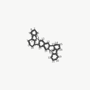 C1=Cc2c3n(c4ccccc24)-c2cc4c(cc2C3C1)=CC1C(C=4)c2cccc3c4ccccc4n1c23